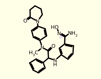 CN(C(=O)C(Nc1cccc(/C(N)=N/O)c1)c1ccccc1)c1ccc(N2CCCCC2=O)cc1